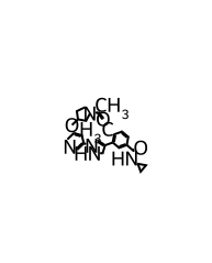 CC(=O)N1CCC(Oc2cncc(N3C=C(c4cc(C(=O)NC5CC5)ccc4C)CN3)c2)C1